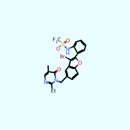 CCc1ncc(C)c(=O)n1Cc1ccc2oc(-c3ccccc3NS(=O)(=O)C(F)(F)F)c(Br)c2c1